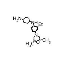 CCc1cc(N2C[C@@H](C)O[C@@H](C)C2)ccc1NC1CCC(N)CC1